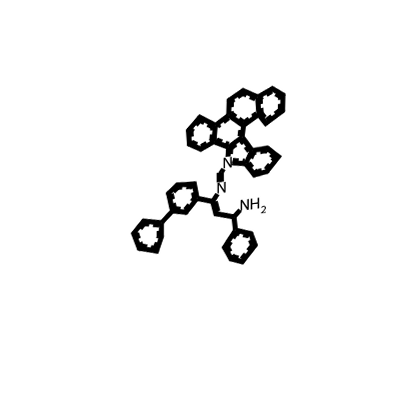 NC(/C=C(\N=C\n1c2ccccc2c2c3c4ccccc4ccc3c3ccccc3c21)c1cccc(-c2ccccc2)c1)c1ccccc1